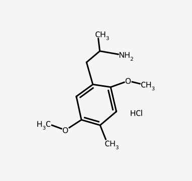 COc1cc(CC(C)N)c(OC)cc1C.Cl